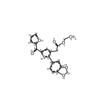 CCOC(=O)Cc1cc(C(=O)c2ccco2)sc1-c1ccc2c(c1)OCO2